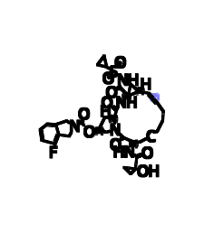 O=C1N[C@]2(C(=O)NS(=O)(=O)C3CC3)C[C@H]2/C=C\CCCCC[C@H](NC(=O)C2(O)CC2)C(=O)N2C[C@H](OC(=O)N3Cc4cccc(F)c4C3)C[C@@H]12